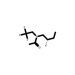 CC[C@H](C)CN(CC(F)(F)F)C(C)=O